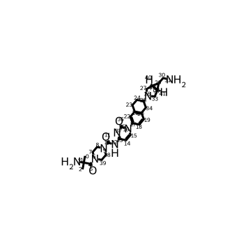 CC(C)(N)C(=O)N1CCN(C(=O)Nc2ccn(-c3ccc4c(c3)CCC(N3C[C@@H]5C(CN)[C@@H]5C3)C4)c(=O)n2)CC1